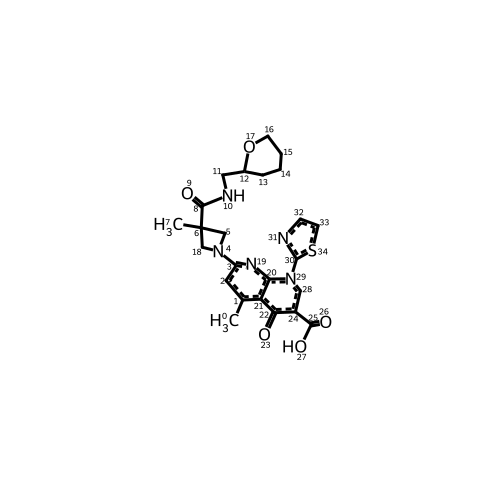 Cc1cc(N2CC(C)(C(=O)NCC3CCCCO3)C2)nc2c1c(=O)c(C(=O)O)cn2-c1nccs1